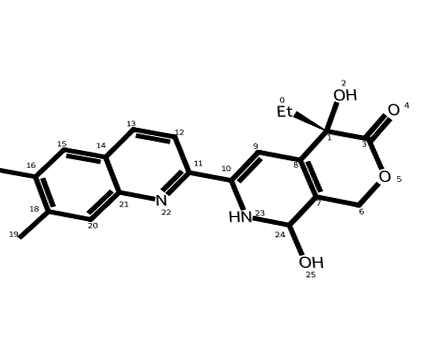 CC[C@@]1(O)C(=O)OCC2=C1C=C(c1ccc3cc(C)c(C)cc3n1)NC2O